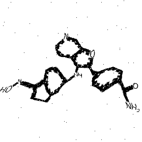 NC(=O)c1ccc(-c2oc3cnccc3c2Nc2ccc3c(c2)CCC3=NO)cc1